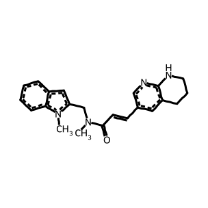 CN(Cc1cc2ccccc2n1C)C(=O)C=Cc1cnc2c(c1)CCCN2